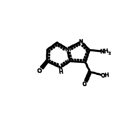 Nc1nn2ccc(=O)[nH]c2c1C(=O)O